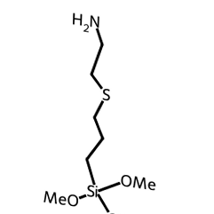 CO[Si](CCCSCCN)(OC)OC